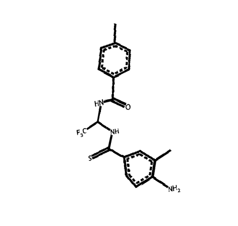 Cc1ccc(C(=O)NC(NC(=S)c2ccc(N)c(C)c2)C(F)(F)F)cc1